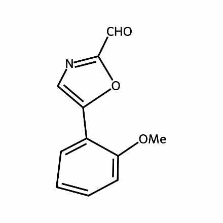 COc1ccccc1-c1cnc(C=O)o1